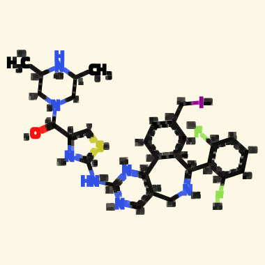 CC1CN(C(=O)c2csc(Nc3ncc4c(n3)-c3ccc(CI)cc3C(c3c(F)cccc3F)=NC4)n2)CC(C)N1